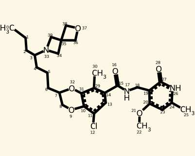 CCCC(CCCC1COc2c(Cl)cc(C(=O)NCc3c(OC)cc(C)[nH]c3=O)c(C)c2O1)N1CC2(COC2)C1